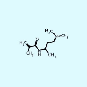 C=C(C)C(=O)NC(C)CCN(C)C